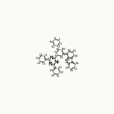 c1ccc(-c2cc(-c3nc(-c4ccccc4)nc(-c4ccccc4)n3)cc(-c3cccc4c3sc3ccccc34)c2)cc1